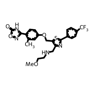 COCCNCc1nc(-c2ccc(C(F)(F)F)cc2)sc1COc1ccc(-c2noc(=O)[nH]2)c(C)c1